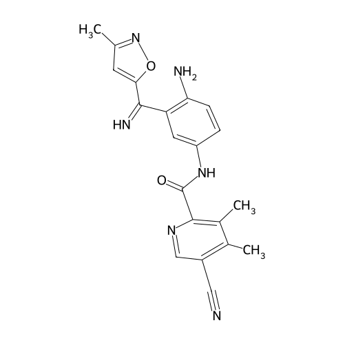 Cc1cc(C(=N)c2cc(NC(=O)c3ncc(C#N)c(C)c3C)ccc2N)on1